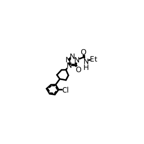 CCNC(=O)n1nnn(C2CCC(c3ccccc3Cl)CC2)c1=O